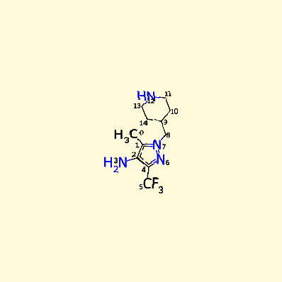 Cc1c(N)c(C(F)(F)F)nn1CC1CCNCC1